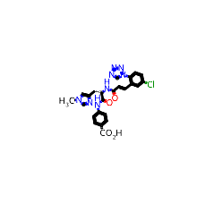 Cn1cnc(C[C@H](NC(=O)C=Cc2cc(Cl)ccc2-n2cnnn2)C(=O)Nc2ccc(C(=O)O)cc2)c1